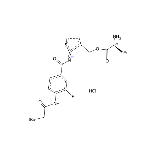 CC(C)[C@H](N)C(=O)OCn1ccs/c1=N\C(=O)c1ccc(NC(=O)CC(C)(C)C)c(F)c1.Cl